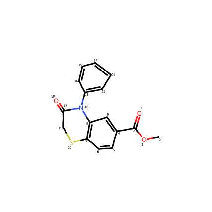 COC(=O)c1ccc2c(c1)N(c1ccccc1)C(=O)CS2